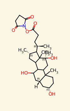 C[C@H](CCC(=O)ON1C(=O)CCC1=O)C1[C@@H](C)CC2C3C(O)C[C@H]4C[C@@H](O)CCC4(C)C3C[C@](C)(O)C21C